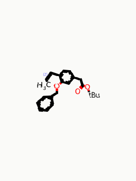 C/C=C\c1ccc(CC(=O)OC(C)(C)C)cc1OCc1ccccc1